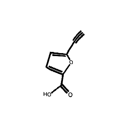 C#Cc1ccc(C(=O)O)o1